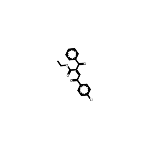 CCOC(=O)/C(=C\C(=O)c1ccc(Cl)cc1)C(=O)c1ccccc1